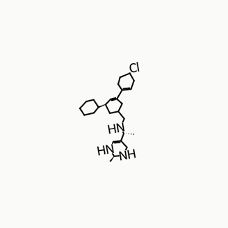 C[C@H]1NC=C([C@@H](C)NCC2CC(C3=CCC(Cl)CC3)=C[C@H](C3CCCCC3)C2)CN1